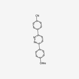 COc1ccc(-c2ccc(-c3ccc(C#N)cc3)nn2)cc1